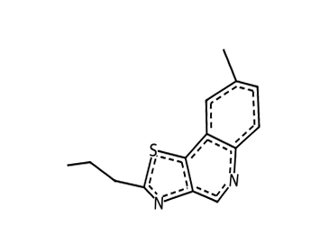 CCCc1nc2cnc3ccc(C)cc3c2s1